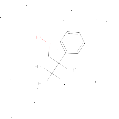 CCC(C)(C)C(C)(COO)c1ccccc1